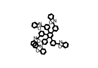 c1cc(-c2nc3ccccc3o2)cc(-c2cc(-c3cccc(-c4nc5ccccc5o4)c3)c(-c3cccc(-c4nc5ccccc5o4)c3)c(-c3cccc(-c4nc5ccccc5o4)c3)c2-c2ccc(N3c4ccccc4Oc4ccccc43)cc2)c1